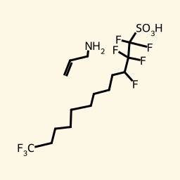 C=CCN.O=S(=O)(O)C(F)(F)C(F)(F)C(F)CCCCCCCCC(F)(F)F